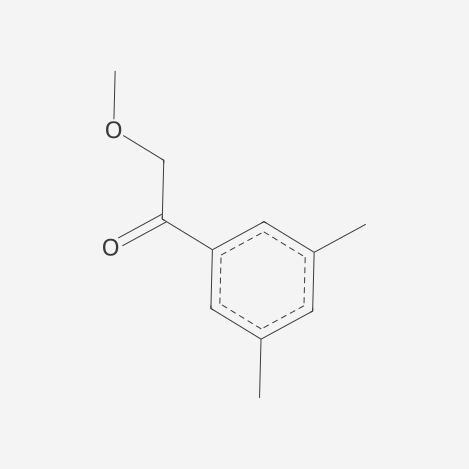 COCC(=O)c1cc(C)cc(C)c1